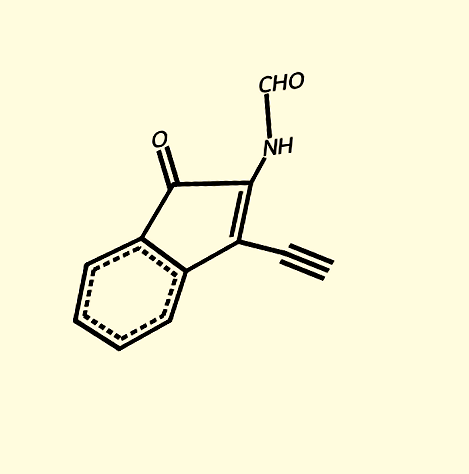 C#CC1=C(NC=O)C(=O)c2ccccc21